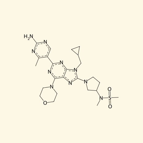 Cc1nc(N)ncc1-c1nc(N2CCOCC2)c2nc(N3CCC(N(C)S(C)(=O)=O)C3)n(CC3CC3)c2n1